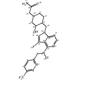 CCN(Cc1ccc(C(F)(F)F)cn1)c1ncnc2c1c(F)cn2CC1CCN(CC(N)=O)CC1O